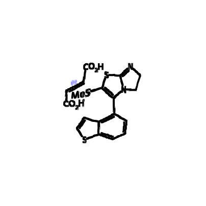 CSC1=C(c2cccc3sccc23)N2CCN=C2S1.O=C(O)/C=C/C(=O)O